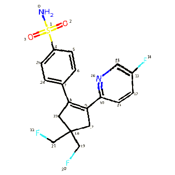 NS(=O)(=O)c1ccc(C2=C(c3ccc(F)cn3)CC(CF)(CF)C2)cc1